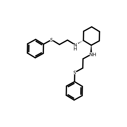 c1ccc(SCCN[C@@H]2CCCC[C@H]2NCCSc2ccccc2)cc1